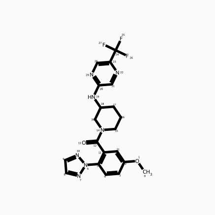 COc1ccc(-n2nccn2)c(C(=O)N2CCCC(Nc3cnc(C(F)(F)F)cn3)C2)c1